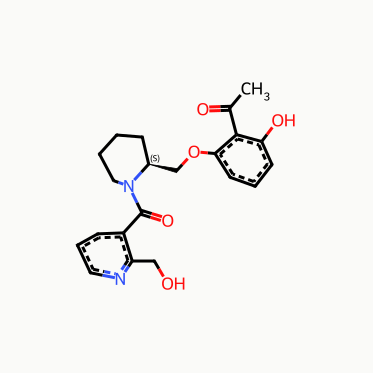 CC(=O)c1c(O)cccc1OC[C@@H]1CCCCN1C(=O)c1cccnc1CO